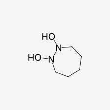 ON1CCCCCN1O